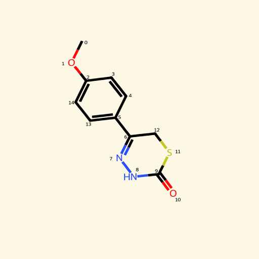 COc1ccc(C2=NNC(=O)SC2)cc1